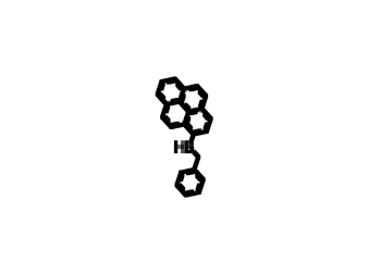 B(Cc1ccccc1)c1ccc2ccc3cccc4ccc1c2c34